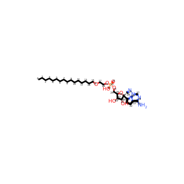 CCCCCCCCCCCCCCCCOCCOP(=O)(O)OCC1O[C@@](C#N)(c2ccc3c(N)ncnn23)[C@H](O)[C@@H]1O